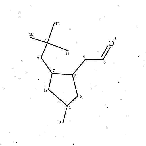 CC1CC(CC=O)C(CC(C)(C)C)C1